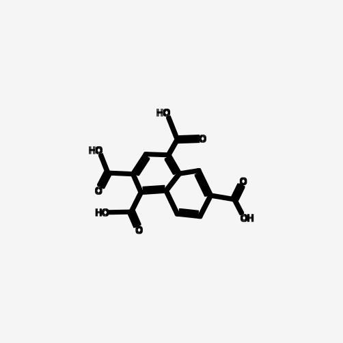 O=C(O)c1ccc2c(C(=O)O)c(C(=O)O)cc(C(=O)O)c2c1